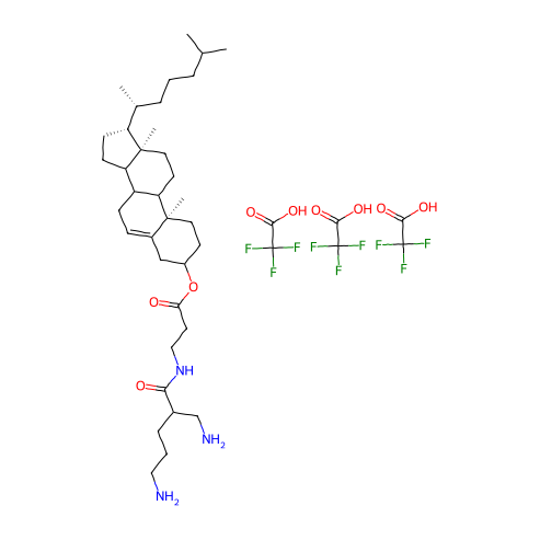 CC(C)CCC[C@@H](C)[C@H]1CCC2C3CC=C4CC(OC(=O)CCNC(=O)C(CN)CCCN)CC[C@]4(C)C3CC[C@@]21C.O=C(O)C(F)(F)F.O=C(O)C(F)(F)F.O=C(O)C(F)(F)F